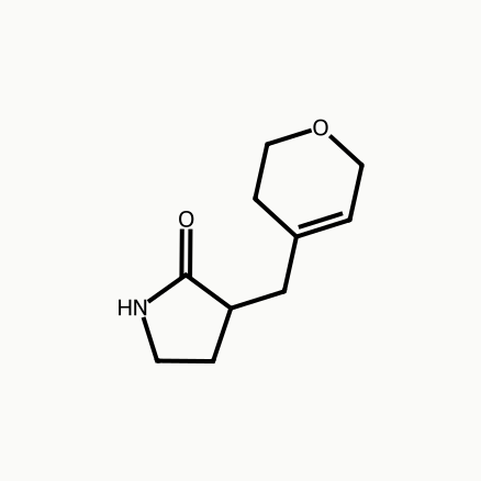 O=C1NCCC1CC1=CCOCC1